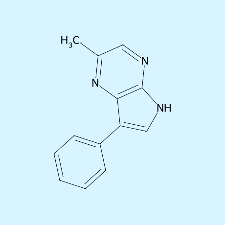 Cc1cnc2[nH]cc(-c3ccccc3)c2n1